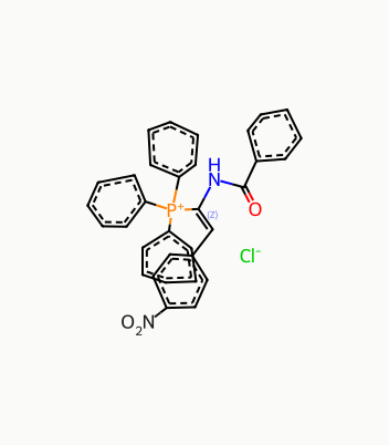 O=C(N/C(=C/c1ccc([N+](=O)[O-])cc1)[P+](c1ccccc1)(c1ccccc1)c1ccccc1)c1ccccc1.[Cl-]